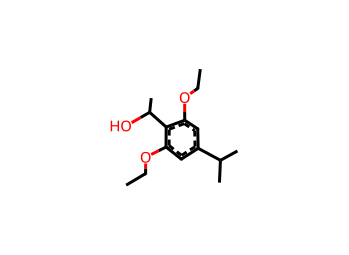 CCOc1cc(C(C)C)cc(OCC)c1C(C)O